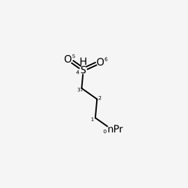 CCCCC[CH][SH](=O)=O